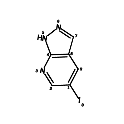 Ic1cnc2[nH]ncc2c1